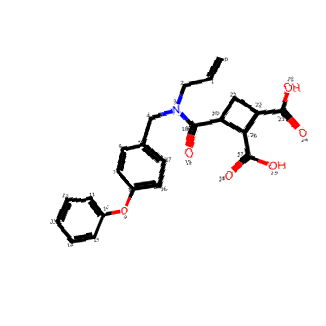 C=CCN(Cc1ccc(Oc2ccccc2)cc1)C(=O)C1CC(C(=O)O)C1C(=O)O